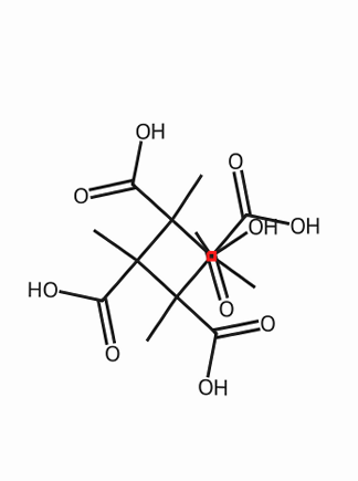 CC(C)(C(=O)O)C(C)(C(=O)O)C(C)(C(=O)O)C(C)(C(=O)O)C(=O)O